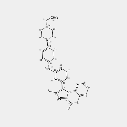 Cc1nc(N(C)Cc2ccccc2)sc1-c1ccnc(Nc2ccc(N3CCN(CC=O)CC3)cc2)n1